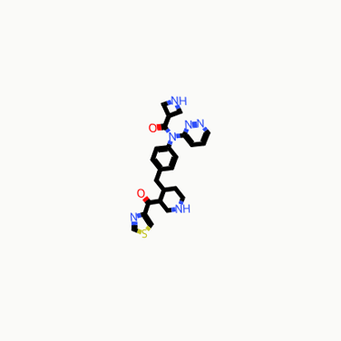 O=C(c1cscn1)C1CNCCC1Cc1ccc(N(C(=O)C2CNC2)c2cccnn2)cc1